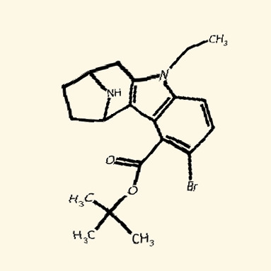 CCn1c2c(c3c(C(=O)OC(C)(C)C)c(Br)ccc31)C1CCC(C2)N1